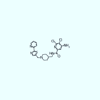 Nc1cc(C(=O)NCC2CCN(Cc3cnc(-c4ccccn4)s3)CC2)nc(Cl)c1Cl